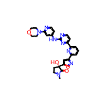 CN1CC[C@@](O)(c2cc(-c3cccc(-c4ccnc(Nc5ccnc(N6CCOCC6)c5)n4)n3)no2)C1=O